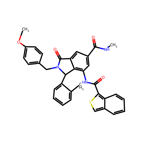 CNC(=O)c1cc(NC(=O)c2scc3ccccc23)c2c(c1)C(=O)N(Cc1ccc(OC)cc1)C2c1ccccc1C